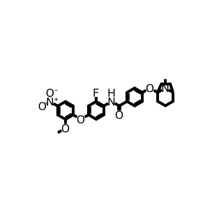 COc1cc([N+](=O)[O-])ccc1Oc1ccc(NC(=O)c2ccc(OC34CCCC(CC3)N4C)cc2)c(F)c1